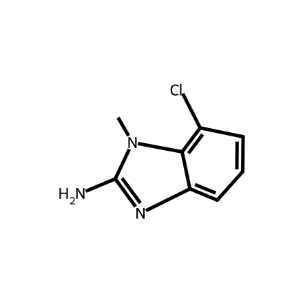 Cn1c(N)nc2cccc(Cl)c21